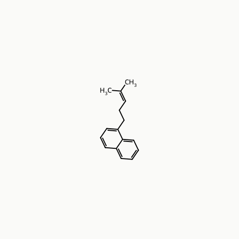 CC(C)=CCCc1cccc2ccccc12